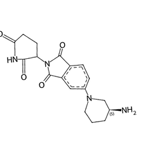 N[C@H]1CCCN(c2ccc3c(c2)C(=O)N(C2CCC(=O)NC2=O)C3=O)C1